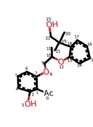 CC(=O)c1c(O)cccc1OCC(C)Oc1ccccc1C(C)(C)CO